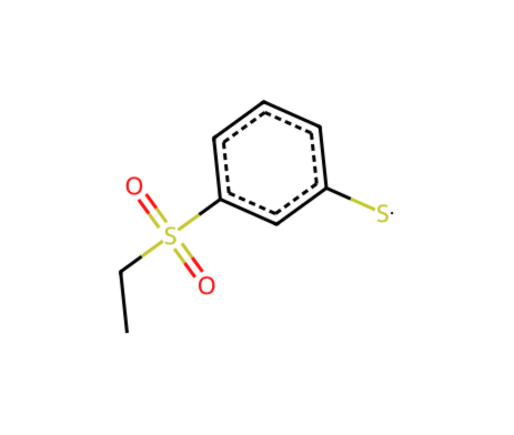 CCS(=O)(=O)c1cccc([S])c1